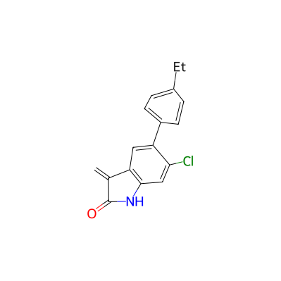 C=C1C(=O)Nc2cc(Cl)c(-c3ccc(CC)cc3)cc21